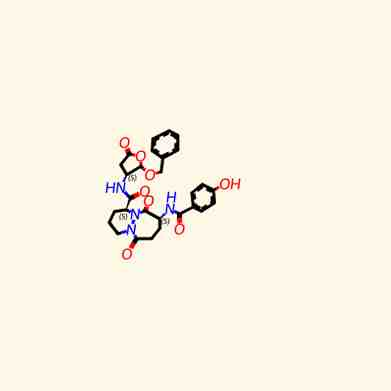 O=C1C[C@H](NC(=O)[C@@H]2CCCN3C(=O)CC[C@H](NC(=O)c4ccc(O)cc4)C(=O)N23)C(OCc2ccccc2)O1